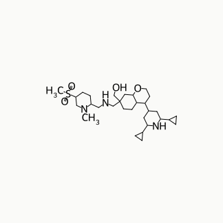 CN1CC(S(C)(=O)=O)CCC1CNCC1(CO)CCC2C(C1)OCCC2C1CC(C2CC2)NC(C2CC2)C1